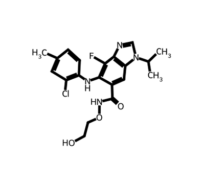 Cc1ccc(Nc2c(C(=O)NOCCO)cc3c(ncn3C(C)C)c2F)c(Cl)c1